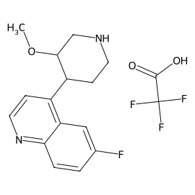 COC1CNCCC1c1ccnc2ccc(F)cc12.O=C(O)C(F)(F)F